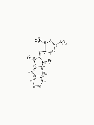 CCN1C(=Cc2ccc([N+](=O)[O-])cc2[N+](=O)[O-])N(CC)c2nc3ccccc3nc21